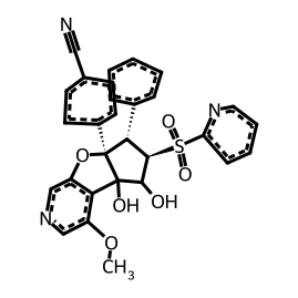 COc1cncc2c1C1(O)C(O)[C@H](S(=O)(=O)c3ccccn3)[C@@H](c3ccccc3)[C@]1(c1ccc(C#N)cc1)O2